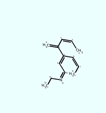 C=C(/C=C\C)C(/C=C\C)=C/C=N\CC